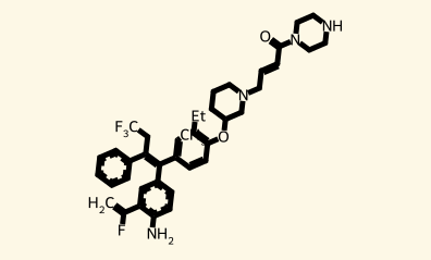 C=C(F)c1cc(C(=C(CC(F)(F)F)c2ccccc2)C(/C=C\C(=C\CC)OC2CCCN(C/C=C/C(=O)N3CCNCC3)C2)=C/C)ccc1N